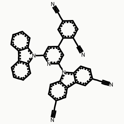 N#Cc1ccc(C#N)c(-c2cc(-n3c4ccccc4c4ccccc43)nc(-n3c4ccc(C#N)cc4c4cc(C#N)ccc43)c2)c1